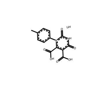 Cc1ccc(-n2c(C(=O)O)c(C(=O)O)c(=O)[nH]c2=O)cc1.[LiH]